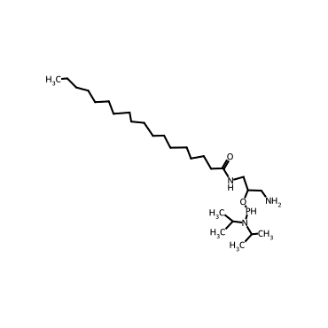 CCCCCCCCCCCCCCCCCC(=O)NCC(CN)OPN(C(C)C)C(C)C